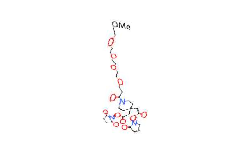 COCCOCCOCCOCCOCCC(=O)N1CCC(CC(=O)ON2CCCC2=O)(CC(=O)ON2C(=O)CCC2=O)CC1